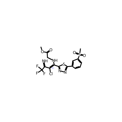 COC(=O)CN/C(=C(/Cl)C(=N)C(F)(F)F)c1nnc(-c2cccc(S(C)(=O)=O)c2)s1